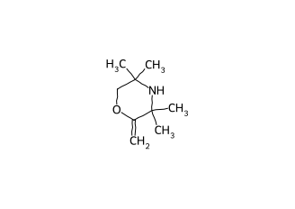 C=C1OCC(C)(C)NC1(C)C